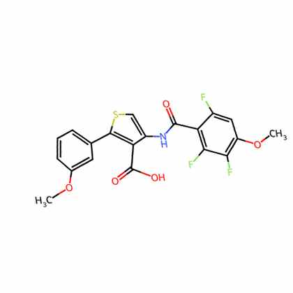 COc1cccc(-c2scc(NC(=O)c3c(F)cc(OC)c(F)c3F)c2C(=O)O)c1